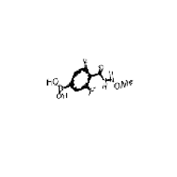 CONNC(=O)c1c(F)cc(B(O)O)cc1F